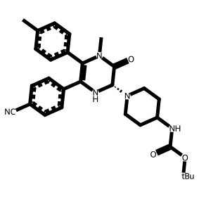 Cc1ccc(C2=C(c3ccc(C#N)cc3)N[C@@H](N3CCC(NC(=O)OC(C)(C)C)CC3)C(=O)N2C)cc1